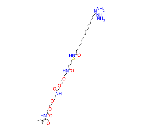 CC[C@H](C)[C@@H](C=O)NC(=O)COCCOCCNC(=O)COCCOCCNC(=O)CCCSNC(=O)CCCCCCCCCCCCCCC/C(=N/N)NN